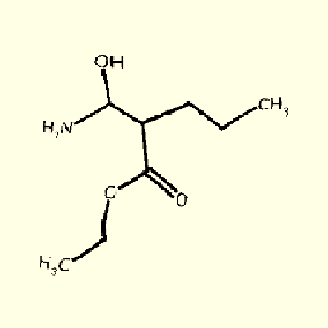 CCCC(C(=O)OCC)C(N)O